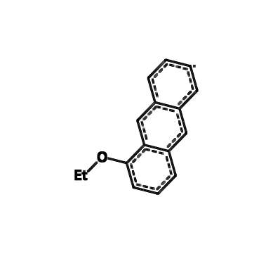 CCOc1cccc2cc3c[c]ccc3cc12